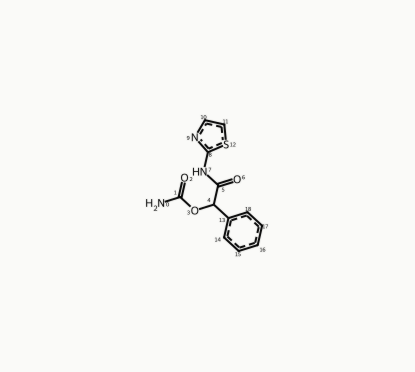 NC(=O)OC(C(=O)Nc1nccs1)c1ccccc1